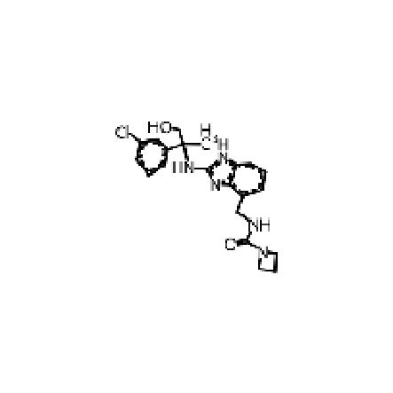 CC(CO)(Nc1nc2c(CNC(=O)N3CCC3)cccc2[nH]1)c1cccc(Cl)c1